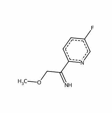 COCC(=N)c1ccc(F)cn1